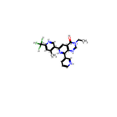 CCn1cnc2c(-c3cccnc3)nc(-c3cnc(C(F)(F)F)cc3C)cc2c1=O